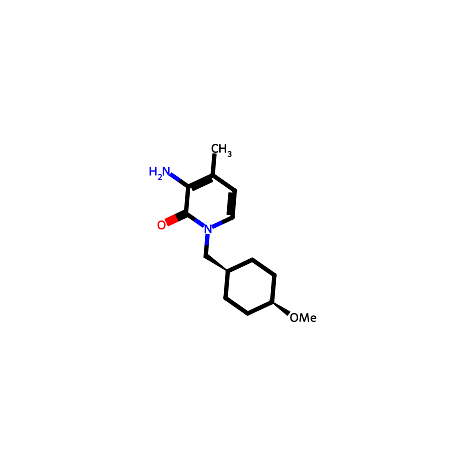 CO[C@H]1CC[C@@H](Cn2ccc(C)c(N)c2=O)CC1